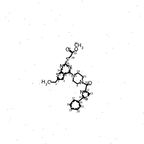 CCc1cc2c(N3CCN(C(=O)c4csc(-c5ccccc5)n4)CC3)nc(SCC(=O)OC)nc2s1